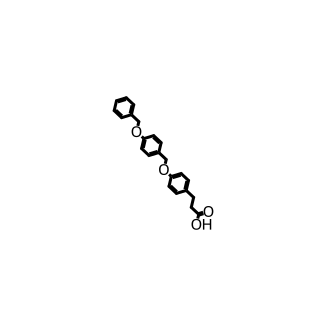 O=C(O)CCc1ccc(OCc2ccc(OCc3ccccc3)cc2)cc1